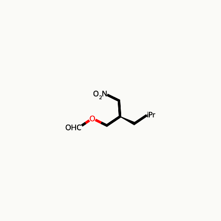 CC(C)C[C@@H](COC=O)C[N+](=O)[O-]